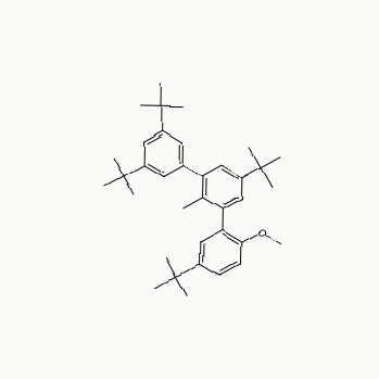 COc1ccc(C(C)(C)C)cc1-c1cc(C(C)(C)C)cc(-c2cc(C(C)(C)C)cc(C(C)(C)C)c2)c1C